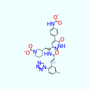 COC(=O)Nc1ccc(-c2cc([C@H](CC3CCCN(C(=O)OC)C3)NC(=O)/C=C/c3cc(C)ccc3-n3cnnn3)n[nH]c2=O)cc1